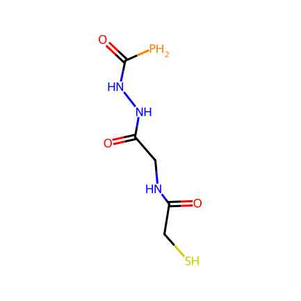 O=C(P)NNC(=O)CNC(=O)CS